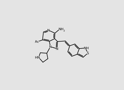 CC(=O)c1cnc(N)c2c(C=c3ccc4c(c3)NSC=4)nn(C3CCNC3)c12